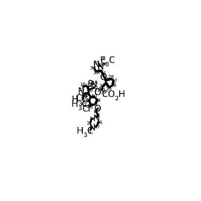 CN1CCN(CCOC2=CC=C(c3c(Cl)ncc4snc(O[C@H](Cc5ccccc5OCc5ccnn5CC(F)(F)F)C(=O)O)c34)C(C)(C)C2Cl)CC1